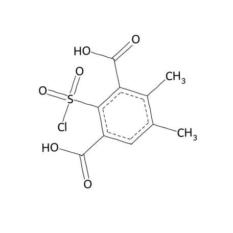 Cc1cc(C(=O)O)c(S(=O)(=O)Cl)c(C(=O)O)c1C